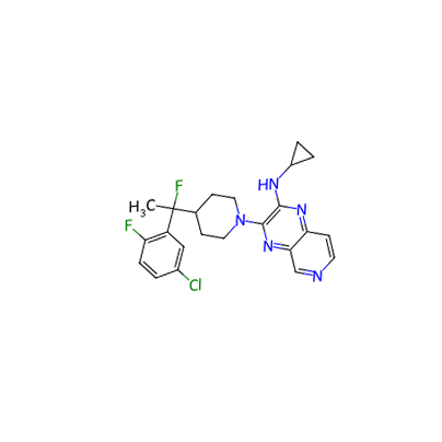 CC(F)(c1cc(Cl)ccc1F)C1CCN(c2nc3cnccc3nc2NC2CC2)CC1